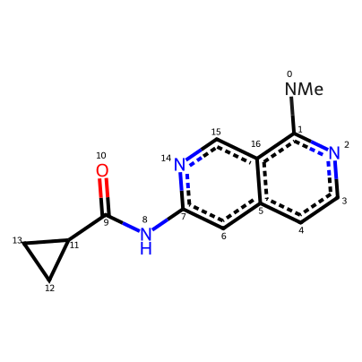 CNc1nccc2cc(NC(=O)C3CC3)ncc12